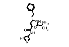 C[C@H](N)C(=O)N[C@H](/C=C/C(=O)Nc1cn[nH]c1)CCc1ccccc1